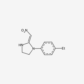 CCc1ccc(N2CCNC2=C[N+](=O)[O-])cc1